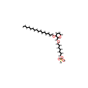 CCCCCCCCCCCCCCCCOC1CCCOC1COCCCCCCCOS(C)(=O)=O